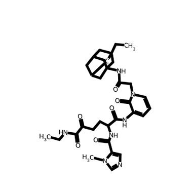 CCNC(=O)C(=O)CCC(NC(=O)c1cncn1C)C(=O)Nc1cccn(CC(=O)NC23CC4CC(CC(CC)(C4)C2)C3)c1=O